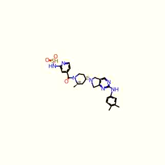 Cc1ccc(Nc2ncc3c(n2)CN([C@H]2CCN(C(=O)c4ccnc(N[SH](=O)=O)c4)[C@H](C)C2)C3)cc1C